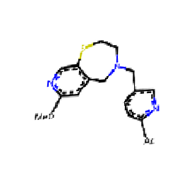 COc1cc2c(cn1)SCCN(Cc1ccc(C(C)=O)nc1)C2